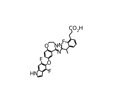 CC(c1nc2n(n1)CCOc1ccc(Oc3c(F)cc4[nH]ccc4c3F)cc1-2)c1cccc(CCC(=O)O)c1F